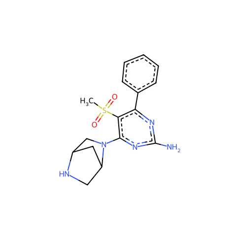 CS(=O)(=O)c1c(-c2ccccc2)nc(N)nc1N1CC2CC1CN2